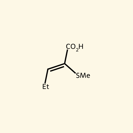 CC/C=C(\SC)C(=O)O